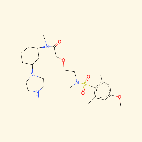 COc1cc(C)c(S(=O)(=O)N(C)CCOCC(=O)N(C)[C@@H]2CCC[C@H](N3CCNCC3)C2)c(C)c1